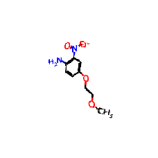 COCCOc1ccc(N)c([N+](=O)[O-])c1